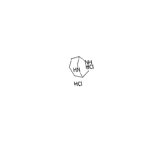 C1CC2CNC(C1)CN2.Cl.Cl